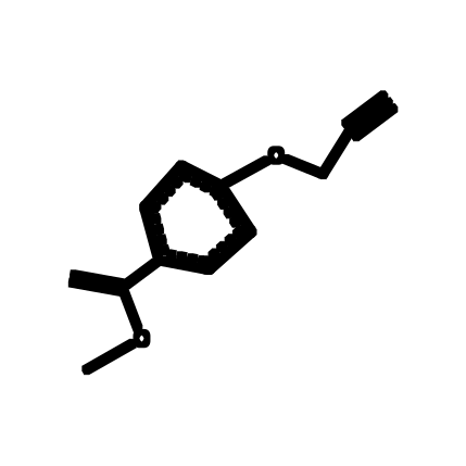 C#CCOc1ccc(C(=C)OC)cc1